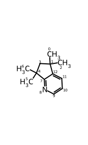 CC1(C)CC(C)(C)c2ncccc21